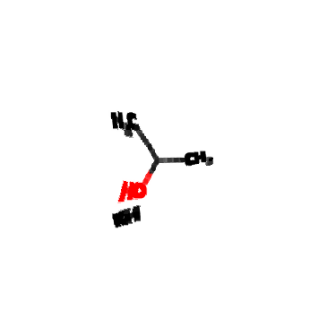 CC(C)O.[KH]